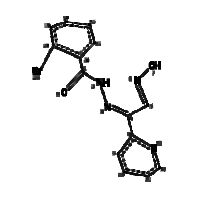 O=C(NN=C(C=NO)c1ccccn1)c1ccccc1Br